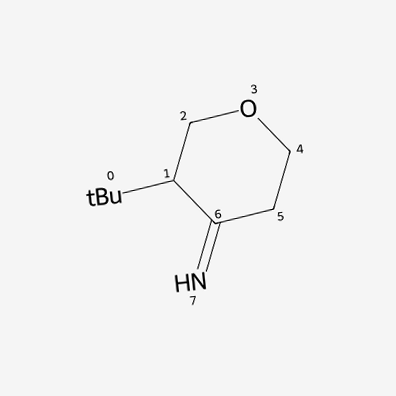 CC(C)(C)C1COCCC1=N